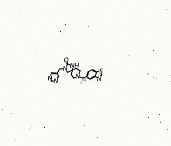 C[C@@H](c1ccc2scnc2c1)N1CCC2(CC1)CN(Cc1cncnc1)C(=O)N2